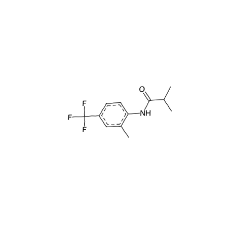 Cc1cc(C(F)(F)F)ccc1NC(=O)C(C)C